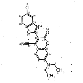 CCN(CC)c1ccc2c(C#N)c(-c3nc4cc(Cl)ccc4o3)c(=O)oc2c1